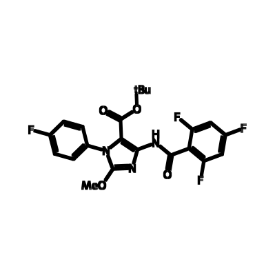 COc1nc(NC(=O)c2c(F)cc(F)cc2F)c(C(=O)OC(C)(C)C)n1-c1ccc(F)cc1